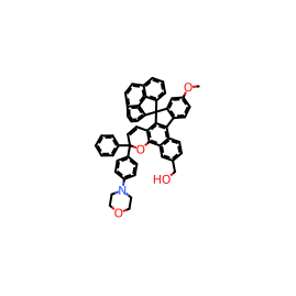 COc1ccc2c(c1)C1(c3c4c(c5cc(CO)ccc5c3-2)OC(c2ccccc2)(c2ccc(N3CCOCC3)cc2)C=C4)c2cccc3ccc4cccc1c4c23